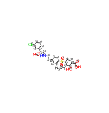 CCc1c(S(=O)(=O)c2ccc(CCNCC(O)c3cccc(Cl)c3)cc2)ccc(C(=O)O)c1O